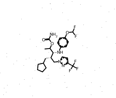 CC(OC(N)=O)[C@H](Nc1ccc(OC(F)F)cc1)[C@@H](CC1CCCC1)Cn1ccc(C(F)(F)F)n1